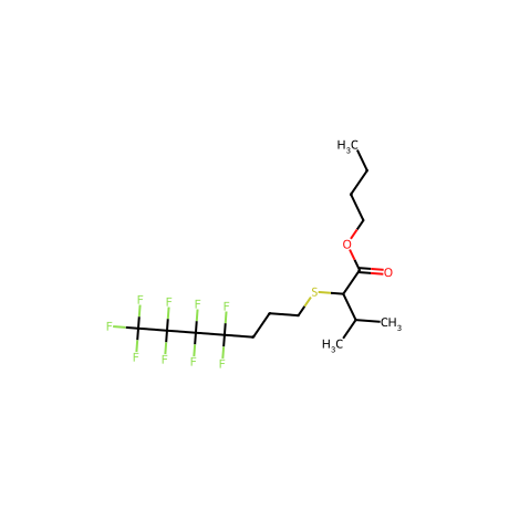 CCCCOC(=O)C(SCCCC(F)(F)C(F)(F)C(F)(F)C(F)(F)F)C(C)C